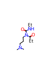 CCNC(=O)N(CCCN(C)C)C(=O)CC